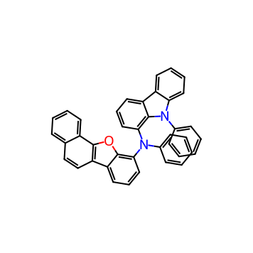 c1ccc(N(c2cccc3c2oc2c4ccccc4ccc32)c2cccc3c4ccccc4n(-c4ccccc4)c23)cc1